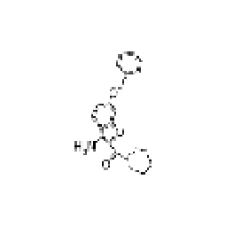 Nc1c(C(=O)C2CCCCC2)oc2cc(OCc3ccccc3)ccc12